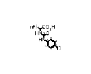 CCCC(NC(=O)Nc1ccc(Cl)cc1)C(=O)O